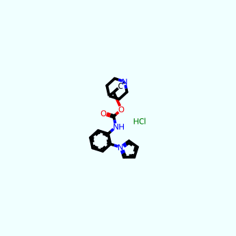 Cl.O=C(Nc1ccccc1-n1cccc1)OC1CN2CCC1CC2